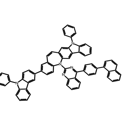 C1=Cc2cc3c(cc2N(c2nc(-c4ccc(-c5cccc6ccccc56)cc4)c4ccccc4n2)c2ccc(-c4ccc5c(c4)c4ccccc4n5-c4ccccc4)cc21)c1ccccc1n3-c1ccccc1